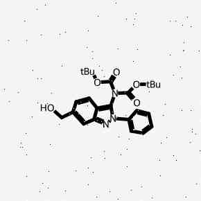 CC(C)(C)OC(=O)N(C(=O)OC(C)(C)C)c1c2ccc(CO)cc2nn1-c1ccccc1